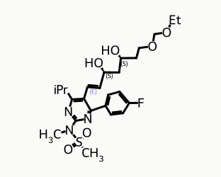 CCOCOCC[C@H](O)C[C@H](O)/C=C/c1c(-c2ccc(F)cc2)nc(N(C)S(C)(=O)=O)nc1C(C)C